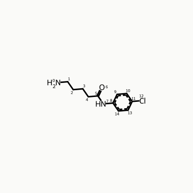 NCCCCC(=O)Nc1ccc(Cl)cc1